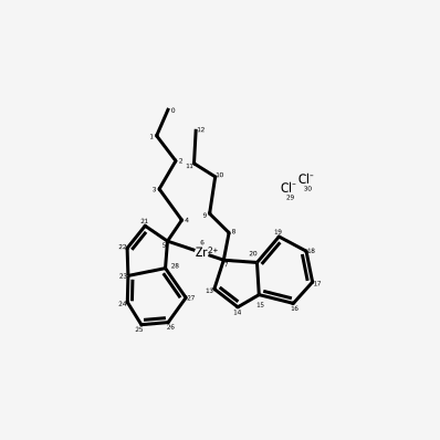 CCCCC[C]1([Zr+2][C]2(CCCCC)C=Cc3ccccc32)C=Cc2ccccc21.[Cl-].[Cl-]